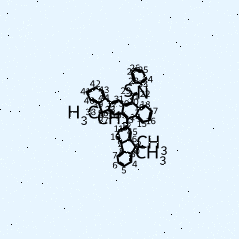 CC1(C)c2ccccc2-c2ccc(-c3c4ccccc4c(-c4nc5ccccc5s4)c4cc5c(cc34)C(C)(C)c3ccccc3-5)cc21